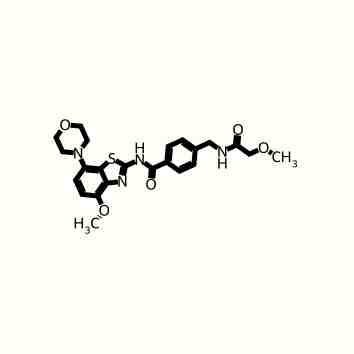 COCC(=O)NCc1ccc(C(=O)Nc2nc3c(OC)ccc(N4CCOCC4)c3s2)cc1